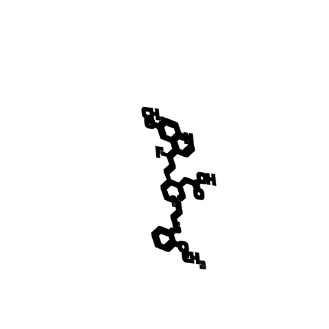 COc1ccc2nccc([C@@H](F)CC[C@@H]3CCN(CCSc4ccccc4OC)C[C@@H]3CC(=O)O)c2c1